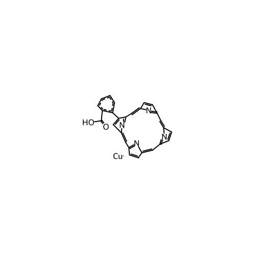 O=C(O)c1ccccc1C1=CC2=CC3=NC(=CC4=NC(=CC5=NC(=CC1=N2)C=C5)C=C4)C=C3.[Cu]